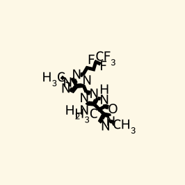 Cn1cc(C2(C)C(=O)Nc3nc(-c4nc(CCC(F)(F)C(F)(F)F)nc5c4cnn5C)nc(N)c32)cn1